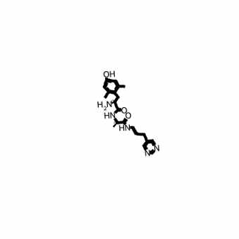 Cc1cc(O)cc(C)c1C[C@H](N)C(=O)N[C@H](C)C(=O)NC=CCc1cncnc1